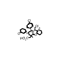 CC1(CC(=O)O)C[C@H](c2cccc(Cl)c2)[C@@H](c2ccc(Cl)cc2)N(C(CC(F)(F)F)c2ccccn2)C1=O